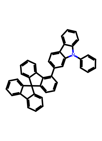 c1ccc(-n2c3ccccc3c3ccc(-c4cccc5c4-c4ccccc4C54c5ccccc5-c5ccccc54)cc32)cc1